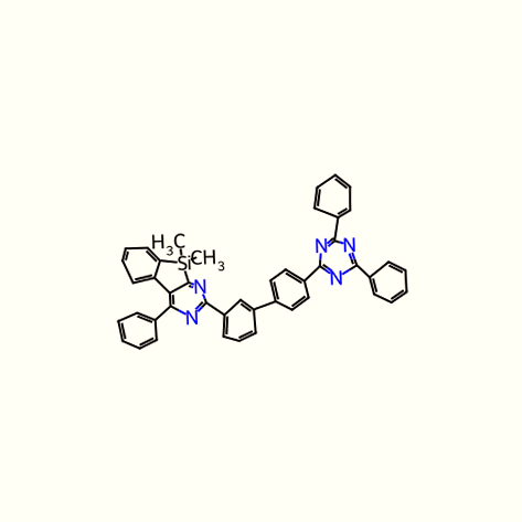 C[Si]1(C)c2ccccc2-c2c(-c3ccccc3)nc(-c3cccc(-c4ccc(-c5nc(-c6ccccc6)nc(-c6ccccc6)n5)cc4)c3)nc21